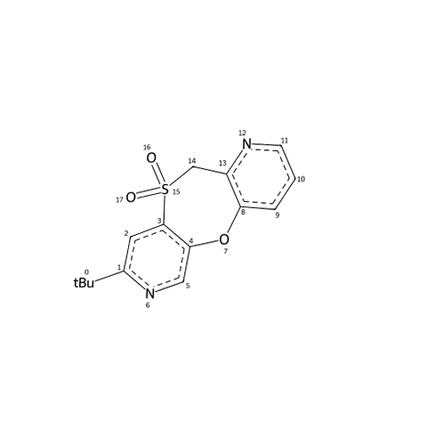 CC(C)(C)c1cc2c(cn1)Oc1cccnc1CS2(=O)=O